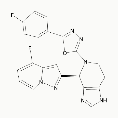 Fc1ccc(-c2nnc(N3CCc4[nH]cnc4[C@H]3c3cc4c(F)cccn4n3)o2)cc1